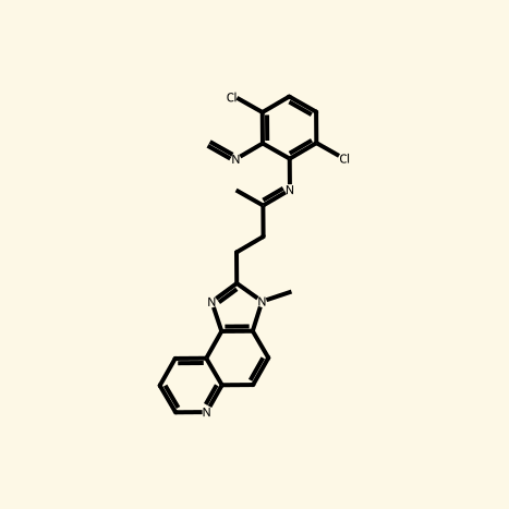 C=Nc1c(Cl)ccc(Cl)c1/N=C(\C)CCc1nc2c3cccnc3ccc2n1C